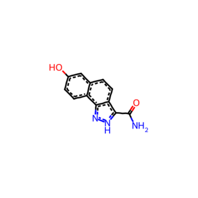 NC(=O)c1[nH]nc2c1ccc1cc(O)ccc12